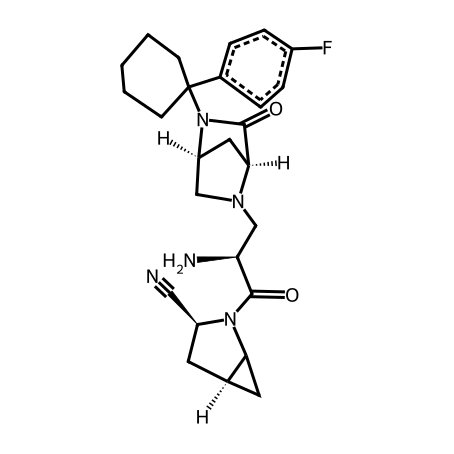 N#C[C@@H]1C[C@@H]2CC2N1C(=O)[C@@H](N)CN1C[C@@H]2C[C@H]1C(=O)N2C1(c2ccc(F)cc2)CCCCC1